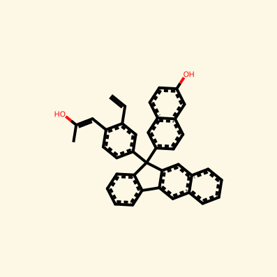 C=Cc1cc(C2(c3ccc4cc(O)ccc4c3)c3ccccc3-c3cc4ccccc4cc32)ccc1/C=C(\C)O